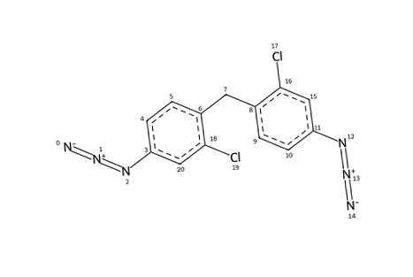 [N-]=[N+]=Nc1ccc(Cc2ccc(N=[N+]=[N-])cc2Cl)c(Cl)c1